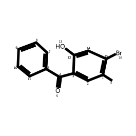 Cc1cc(C(=O)c2ccccc2)c(O)cc1Br